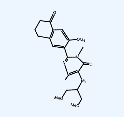 COCC(COC)Nc1c(C)nc(-c2cc3c(cc2OC)C(=O)CCC3)n(C)c1=O